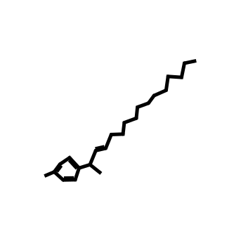 CCCCCCCCCCCCC=CC(C)c1ccc(C)cc1